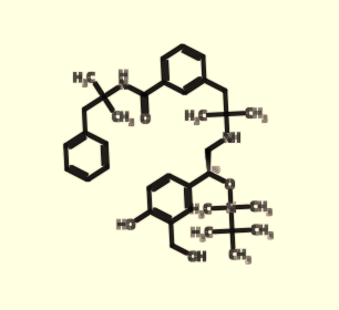 CC(C)(Cc1cccc(C(=O)NC(C)(C)Cc2ccccc2)c1)NC[C@@H](O[Si](C)(C)C(C)(C)C)c1ccc(O)c(CO)c1